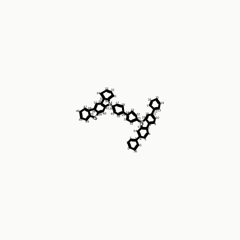 c1ccc(-c2ccc3c4ccc(-c5ccccc5)cc4n(-c4ccc(-c5ccc(-n6c7ccccc7c7cc8c(cc76)sc6ccccc68)cc5)cc4)c3c2)cc1